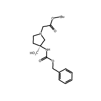 CC(C)(C)OC(=O)CN1CC[C@@](NC(=O)OCc2ccccc2)(C(=O)O)C1